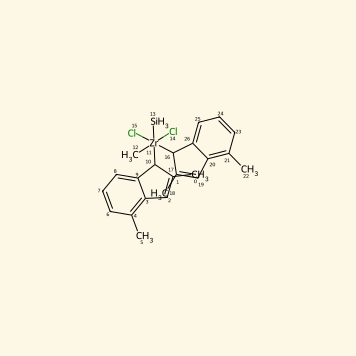 CC1=Cc2c(C)cccc2[CH]1[Zr]([CH3])([SiH3])([Cl])([Cl])[CH]1C(C)=Cc2c(C)cccc21